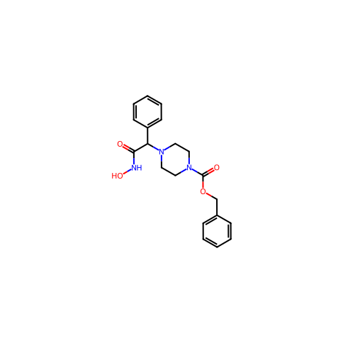 O=C(NO)C(c1ccccc1)N1CCN(C(=O)OCc2ccccc2)CC1